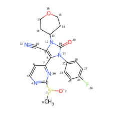 C[S+]([O-])c1nccc(-c2c(C#N)n(C3CCOCC3)c(=O)n2-c2ccc(F)cc2)n1